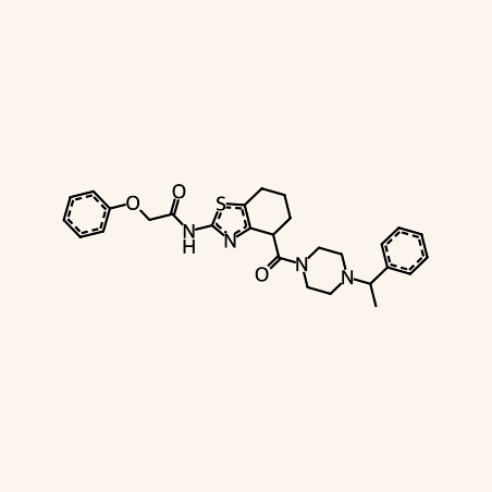 CC(c1ccccc1)N1CCN(C(=O)C2CCCc3sc(NC(=O)COc4ccccc4)nc32)CC1